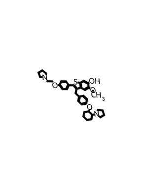 COc1cc2c(Cc3ccc(OC4CCCCC4N4CCCC4)cc3)c(-c3ccc(OCCN4CCCC4)cc3)sc2cc1O